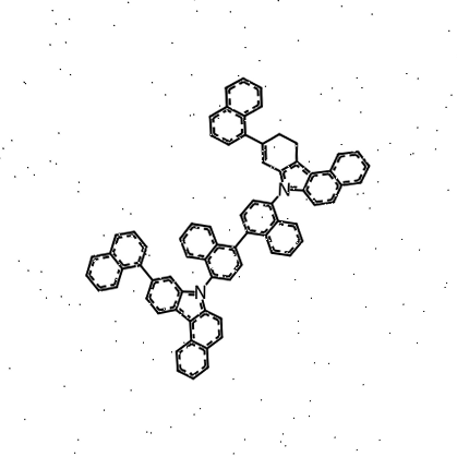 C1=C(c2cccc3ccccc23)CCc2c1n(-c1ccc(-c3ccc(-n4c5cc(-c6cccc7ccccc67)ccc5c5c6ccccc6ccc54)c4ccccc34)c3ccccc13)c1ccc3ccccc3c21